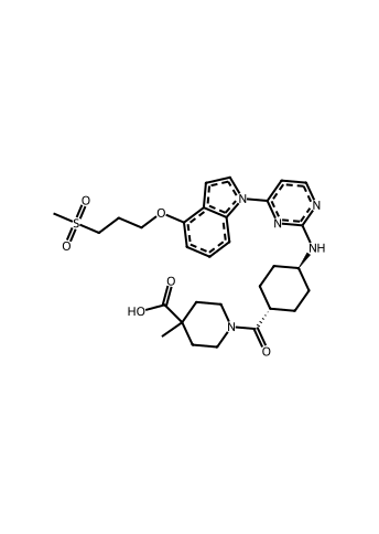 CC1(C(=O)O)CCN(C(=O)[C@H]2CC[C@H](Nc3nccc(-n4ccc5c(OCCCS(C)(=O)=O)cccc54)n3)CC2)CC1